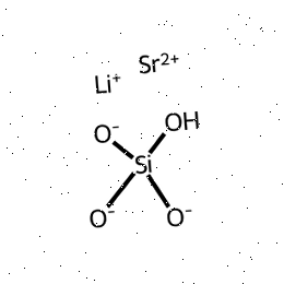 [Li+].[O-][Si]([O-])([O-])O.[Sr+2]